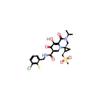 CC(C)N1C[C@]2(C[C@H]2CS(C)(=O)=O)n2cc(C(=O)NCc3cccc(Cl)c3F)c(=O)c(O)c2C1=O